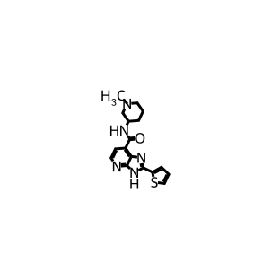 CN1CCCC(NC(=O)c2ccnc3[nH]c(-c4cccs4)nc23)C1